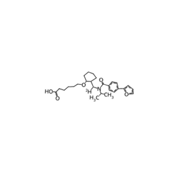 [2H]C(C1CCCCC1OCCCCCC(=O)O)N(C(=O)c1ccc(-c2ccco2)cc1)C(C)C